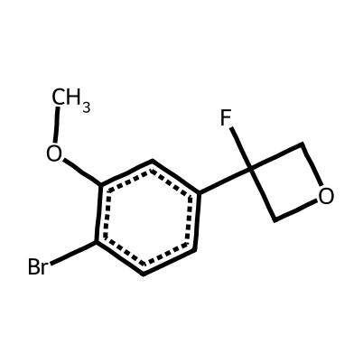 COc1cc(C2(F)COC2)ccc1Br